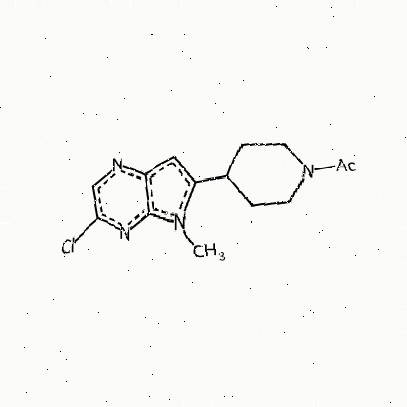 CC(=O)N1CCC(c2cc3ncc(Cl)nc3n2C)CC1